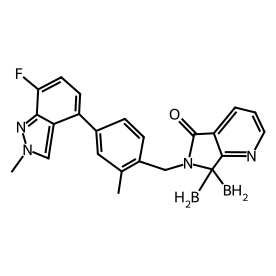 BC1(B)c2ncccc2C(=O)N1Cc1ccc(-c2ccc(F)c3nn(C)cc23)cc1C